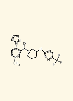 Cc1ccc(-n2nccn2)c(C(=O)N2CCCC(Oc3cnc(C(F)(F)F)cn3)C2)n1